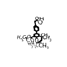 CC(C)OC(=O)c1cc(-c2ccc(CC(=O)O)cc2)cc2c1OC(C)(C)CC2(C)C